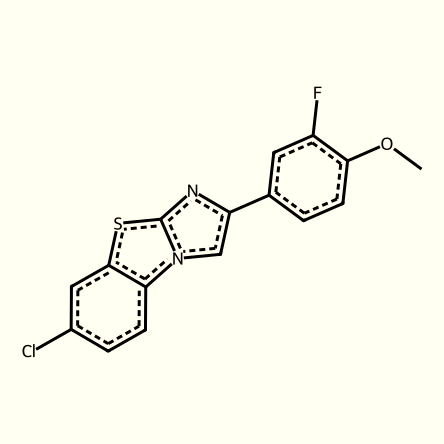 COc1ccc(-c2cn3c(n2)sc2cc(Cl)ccc23)cc1F